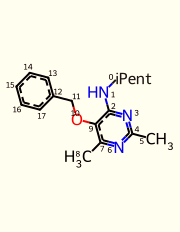 CCCC(C)Nc1nc(C)nc(C)c1OCc1ccccc1